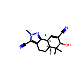 Cn1nc2c(c1C#N)CC[C@H]1C(C)(C)C(O)C(C#N)=C[C@]21C